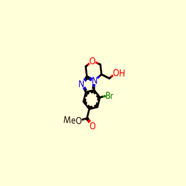 COC(=O)c1cc(Br)c2c(c1)nc1n2C(CO)COC1